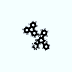 c1ccc2c(c1)sc1c2c2c3cncnc3sc2c2c1c1ccccc1n2-c1ccc2c3ccccc3c3ccccc3c2c1